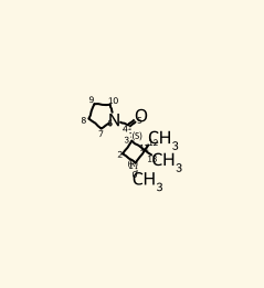 C[C@@H]1C[C@H](C(=O)N2CCCC2)C1(C)C